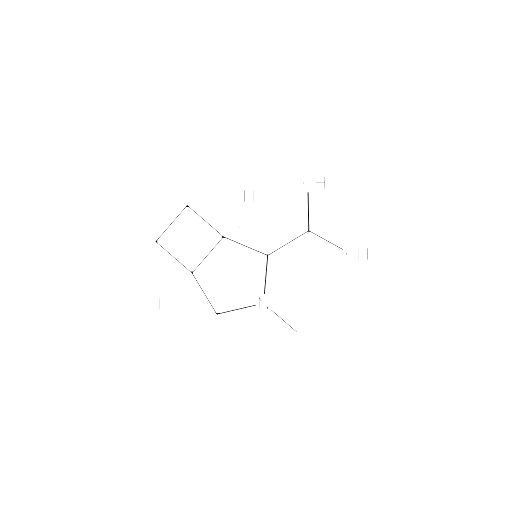 CC(C)C1[C@@H]2CC[C@@H]2CN1I